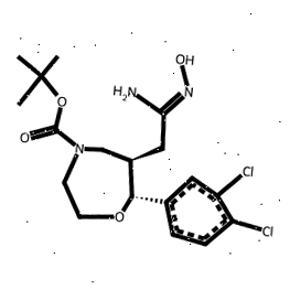 CC(C)(C)OC(=O)N1CCO[C@@H](c2ccc(Cl)c(Cl)c2)[C@H](CC(N)=NO)C1